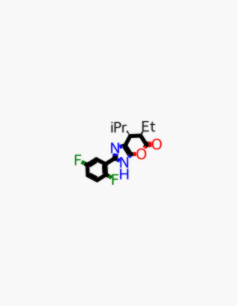 CC[C@@H]1C(=O)Oc2[nH]c(-c3cc(F)ccc3F)nc2[C@@H]1C(C)C